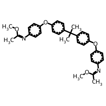 COC(C)=Nc1ccc(Oc2ccc(C(C)(C)c3ccc(Oc4ccc(N=C(C)OC)cc4)cc3)cc2)cc1